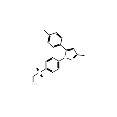 Cc1ccc(-c2cc(C)nn2-c2ccc(S(=O)(=O)CP)cc2)cc1